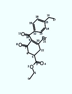 CCOC(=O)C1CC(=O)C(C(=O)c2ccc(CC)cc2)=C(Br)C1